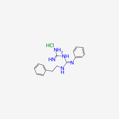 Cl.N=C(N)NC(=Nc1ccccc1)NCCc1ccccc1